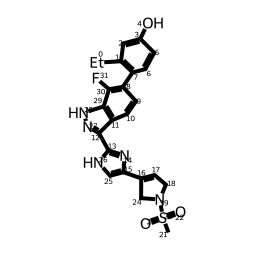 CCc1cc(O)ccc1-c1ccc2c(-c3nc(C4=CCN(S(C)(=O)=O)C4)c[nH]3)n[nH]c2c1F